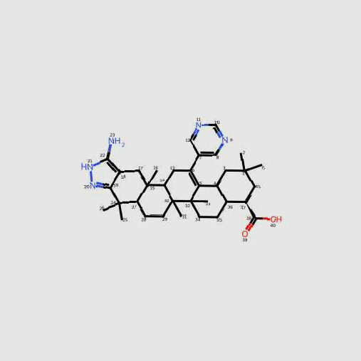 CC1(C)CC2C3=C(c4cncnc4)CC4C5(C)Cc6c(n[nH]c6N)C(C)(C)C5CCC4(C)C3(C)CCC2[C@H](C(=O)O)C1